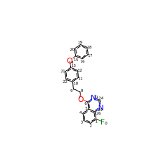 Fc1cccc2c(OCCc3ccc(Oc4ccccc4)cc3)ncnc12